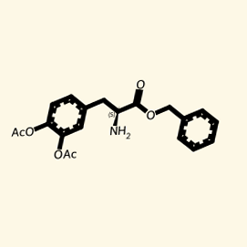 CC(=O)Oc1ccc(C[C@H](N)C(=O)OCc2ccccc2)cc1OC(C)=O